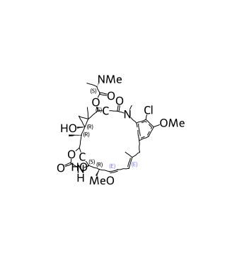 CN[C@@H](C)C(=O)O[C@H]1CC(=O)N(C)c2cc(cc(OC)c2Cl)C/C(C)=C/C=C/[C@@H](OC)[C@@]2(O)CC(OC(=O)N2)[C@@H](C)[C@]2(O)CC12C